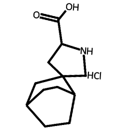 Cl.O=C(O)C1CC2(CN1)CC1CCC2CC1